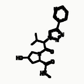 CNC(=O)[C@H]1CC(O)CN1C(=O)C(C(C)C)n1cc(-c2cccnc2)nn1